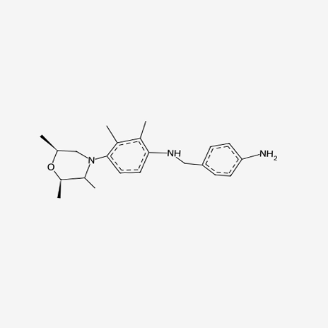 Cc1c(NCc2ccc(N)cc2)ccc(N2C[C@H](C)O[C@H](C)C2C)c1C